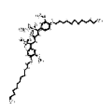 CCCCCCCCCCCCOc1ccc(C(CC(=O)CC(c2ccc(OCCCCCCCCCCCC)c(OC)c2)S(=O)(=O)O)S(=O)(=O)O)cc1OC.N.N